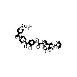 Cn1c(-c2cn(-c3ncccn3)nc2C(F)(F)F)cnc1C(=O)Nc1ccc(C(=O)N2CCN(C(=O)C3CCN(C(=O)O)CC3)CC2)c(Cl)c1